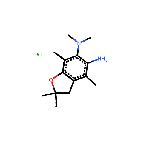 Cc1c(N)c(N(C)C)c(C)c2c1CC(C)(C)O2.Cl